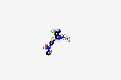 CC(C)(C)CN1Cc2c(cc(Cl)c3[nH]ncc23)C[C@@H](CC(=O)N2CCC(n3cc(-c4ccccn4)[nH]c3=O)CC2)C1=O